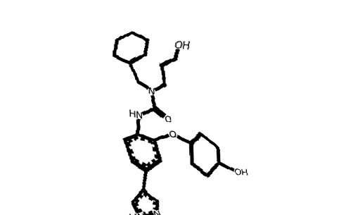 O=C(Nc1ccc(-c2cn[nH]c2)cc1OC1CCC(O)CC1)N(CCCO)CC1CCCCC1